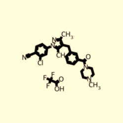 Cc1nn(-c2ccc(C#N)c(Cl)c2)c(C)c1Cc1cccc(C(=O)N2CCN(C)CC2)c1.O=C(O)C(F)(F)F